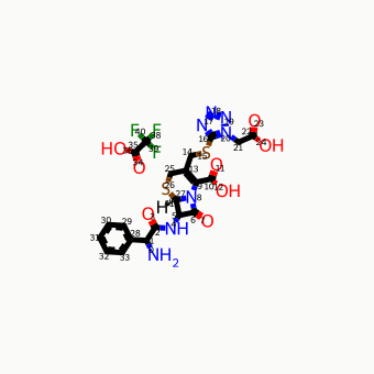 NC(C(=O)NC1C(=O)N2C(C(=O)O)=C(CSc3nnnn3CC(=O)O)CS[C@H]12)c1ccccc1.O=C(O)C(F)(F)F